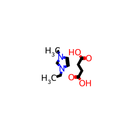 CCN1C=CN(C)C1.O=C(O)CCC(=O)O